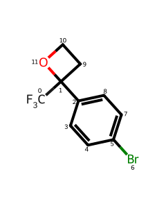 FC(F)(F)C1(c2ccc(Br)cc2)CCO1